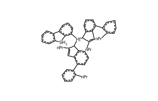 CCCC1=Cc2c(-c3ccccc3CCC)cccc2[CH]1[Hf]([c]1cccc2c1[SiH2]c1ccccc1-2)[CH]1C(CCC)=Cc2c(-c3ccccc3CCC)cccc21